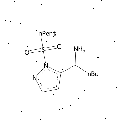 CCCCCS(=O)(=O)n1nccc1C(N)CCCC